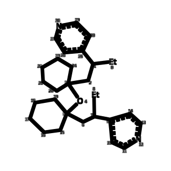 CCC(CC1(OC2(CC(CC)c3ccncc3)CCCCC2)CCCCC1)c1ccncc1